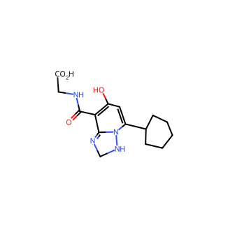 O=C(O)CNC(=O)C1=C(O)C=C(C2CCCCC2)N2NCN=C12